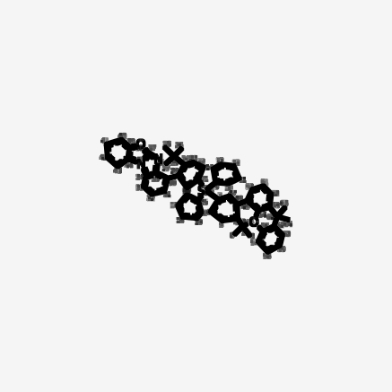 CC(C)(C)c1ccc([Si](c2ccccc2)(c2ccccc2)c2ccc(C(C)(C)C)c(-c3cccc4c3nc3oc5ccccc5n34)c2)cc1-c1cccc2c1Oc1ccccc1C2(C)C